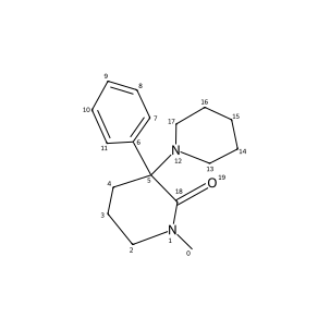 CN1CCCC(c2ccccc2)(N2CCCCC2)C1=O